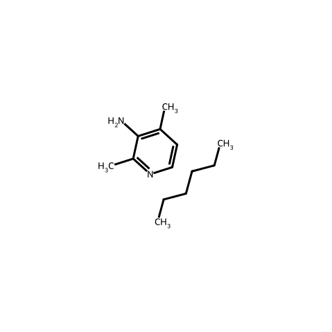 CCCCCC.Cc1ccnc(C)c1N